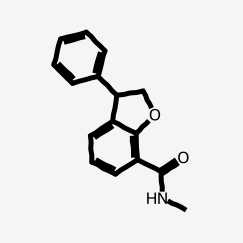 CNC(=O)c1cccc2c1OCC2c1ccccc1